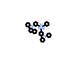 c1ccc(-c2nc(-c3cccc(-n4c5ccccc5c5ccc6ccccc6c54)c3)nc(-c3ccc4c5ccccc5n(-c5ccccc5)c4c3)n2)cc1